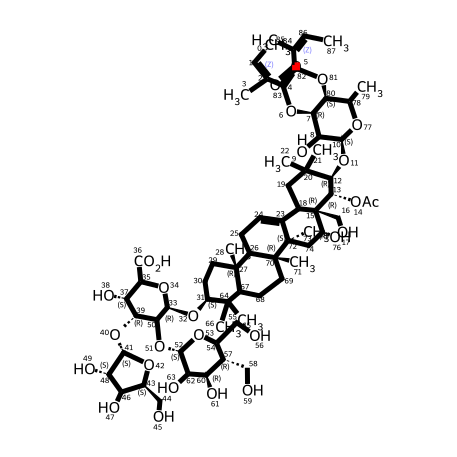 C/C=C(/C)C(=O)O[C@@H]1C(O)[C@H](O[C@H]2[C@H](OC(C)=O)[C@@]3(CO)C(CC2(C)C)C2=CCC4[C@@]5(C)CC[C@H](O[C@@H]6OC(C(=O)O)[C@@H](O)[C@@H](O[C@@H]7O[C@@H](CO)C(O)[C@@H]7O)C6O[C@@H]6OC(CO)[C@H](CO)[C@@H](O)C6O)C(C)(C)C5CC[C@@]4(C)[C@]2(C)C[C@H]3O)OC(C)[C@@H]1OC(=O)/C(C)=C\C